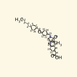 CCCCCc1ccc(COc2ccc(/C=C3\S/C(=N/c4ccc(CC(=O)O)cc4)N(C)C3=O)cc2)cc1